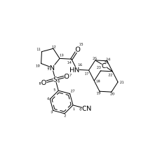 N#Cc1cccc(S(=O)(=O)N2CCCC2C(=O)NC2C3CCCC4(C3)CC2C4)c1